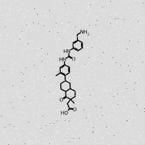 Cc1cc(NC(=O)Nc2cccc(CN)c2)ccc1C1CCC2C(=O)C(C)(CC(=O)O)CCC2C1